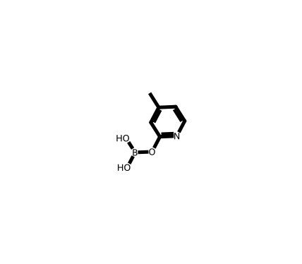 Cc1ccnc(OB(O)O)c1